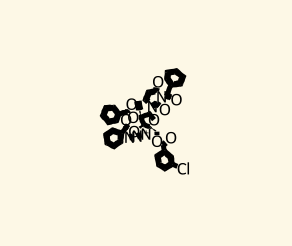 C#C[C@]1(OC(=O)c2ccccc2)[C@H](n2ccc(=O)n(C(=O)c3ccccc3)c2=O)O[C@@](COC(=O)c2cccc(Cl)c2)(N=[N+]=[N-])[C@H]1OC(=O)c1ccccc1